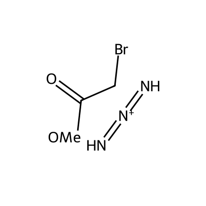 COC(=O)CBr.N=[N+]=N